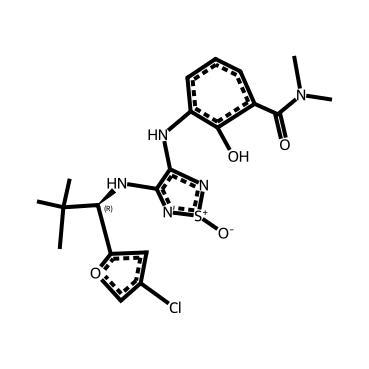 CN(C)C(=O)c1cccc(Nc2n[s+]([O-])nc2N[C@@H](c2cc(Cl)co2)C(C)(C)C)c1O